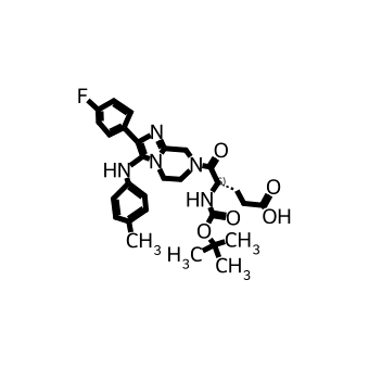 Cc1ccc(Nc2c(-c3ccc(F)cc3)nc3n2CCN(C(=O)[C@H](CCC(=O)O)NC(=O)OC(C)(C)C)C3)cc1